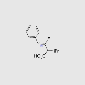 CC(C)C(C(=O)O)/C(F)=C/c1ccccc1